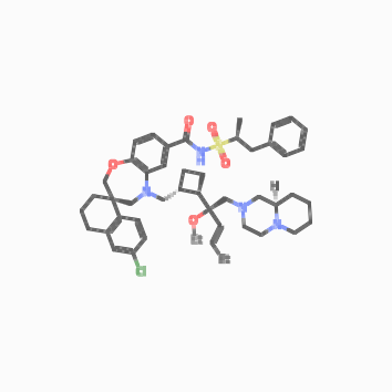 CC/C=C/[C@](CN1CCN2CCCC[C@@H]2C1)(OCC)[C@@H]1CC[C@H]1CN1C[C@@]2(CCCc3cc(Cl)ccc32)COc2ccc(C(=O)NS(=O)(=O)[C@@H](C)Cc3ccccc3)cc21